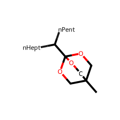 CCCCCCCC(CCCCC)C12OCC(C)(CO1)CO2